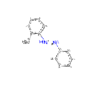 CC(C)(C)c1ccccc1NNc1ccccc1